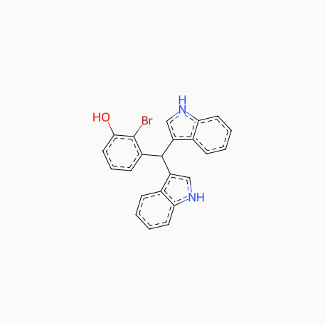 Oc1cccc(C(c2c[nH]c3ccccc23)c2c[nH]c3ccccc23)c1Br